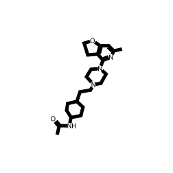 CC(=O)NC1CCC(CCN2CCN(c3nc(C)cc4c3CCO4)CC2)CC1